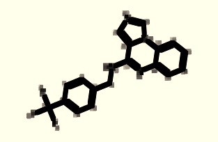 FC(F)(F)c1ccc(CNc2nc3ccccc3n3cncc23)cc1